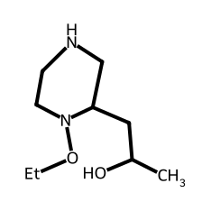 CCON1CCNCC1CC(C)O